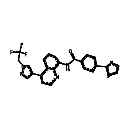 O=C(Nc1cccc2c(-c3cnn(CC(F)(F)F)c3)ccnc12)c1ccc(-c2nccs2)cc1